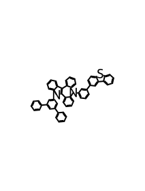 c1ccc(-c2cc(-c3ccccc3)cc(-n3c4c(c5ccccc53)-c3ccccc3N(c3cccc(-c5ccc6sc7ccccc7c6c5)c3)c3ccccc3-4)c2)cc1